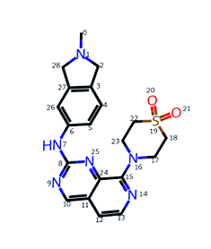 CN1Cc2ccc(Nc3ncc4ccnc(N5CCS(=O)(=O)CC5)c4n3)cc2C1